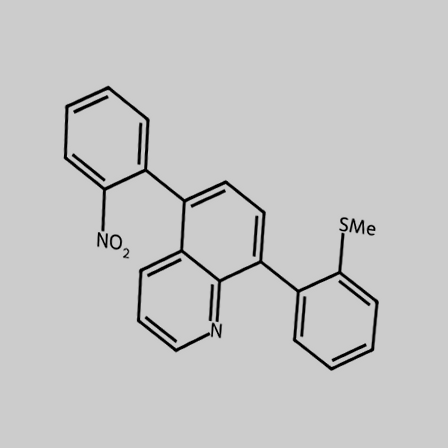 CSc1ccccc1-c1ccc(-c2ccccc2[N+](=O)[O-])c2cccnc12